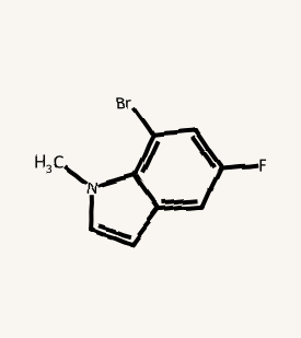 Cn1ccc2cc(F)cc(Br)c21